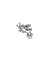 CC1(C)OCC(C2O[C@@H]3OC(C)(C)O[C@@H]3C2(O)O)O1